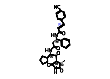 C[C@@H]1C(=O)NC(=O)[C@H]1C(=O)[C@@H](NC(=O)C[C@H](NC(=O)/C=C/c1ccc(C#N)cc1)c1ccccc1)C1CCCC1